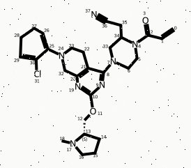 C=CC(=O)N1CCN(c2nc(OC[C@@H]3CCCN3C)nc3c2CCN(C2=CCCC=C2Cl)C3)CC1CC#N